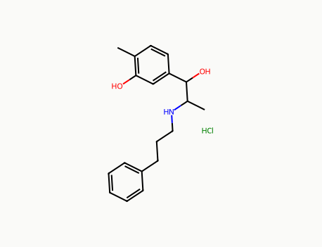 Cc1ccc(C(O)C(C)NCCCc2ccccc2)cc1O.Cl